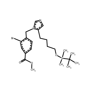 COC(=O)c1ccc(Cn2cncc2CCCCO[Si](C)(C)C(C)(C)C)c(Br)c1